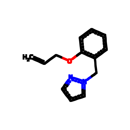 C=CCOc1ccccc1Cn1cccn1